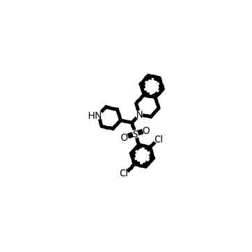 O=S(=O)(c1cc(Cl)ccc1Cl)C(C1CCNCC1)N1CCc2ccccc2C1